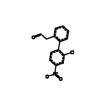 O=CCc1ccccc1-c1ccc([N+](=O)[O-])cc1Cl